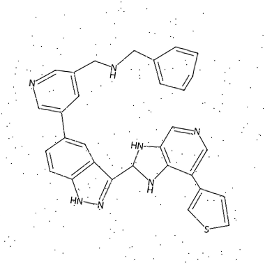 c1ccc(CNCc2cncc(-c3ccc4[nH]nc(C5Nc6cncc(-c7ccsc7)c6N5)c4c3)c2)cc1